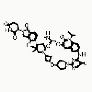 CNC(=O)COc1cc2cc(Nc3nc(N4CCC(O[C@H]5C[C@H](N6CC[C@@H](c7ccc8c(c7F)CN(C7CCC(=O)NC7=O)C8=O)C(C)(C)C6)C5)CC4)ncc3Cl)ccc2n(C(C)C)c1=O